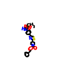 CS(=O)(=O)Nc1ccc(-c2csc(C3CCN(C(=O)OCc4ccccc4)CC3)n2)cc1